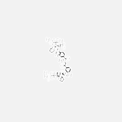 CC(C)(C)OC(=O)N1CCC[C@H]1C(=O)Nc1cccc(C(=O)CNC(=O)c2ccc3[nH]c([C@@H]4CCCN4C(=O)OC(C)(C)C)nc3c2)c1